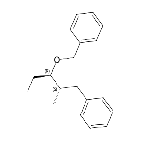 CC[C@@H](OCc1ccccc1)[C@@H](C)Cc1ccccc1